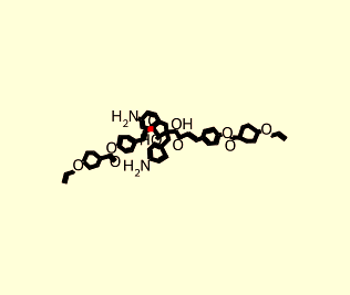 C=CCOC1CCC(C(=O)Oc2ccc(/C=C/C(=O)C(O)C(Cc3ccc(N)cc3)(Cc3ccc(N)cc3)C(O)C(=O)/C=C/c3ccc(OC(=O)C4CCC(OCC=C)CC4)cc3)cc2)CC1